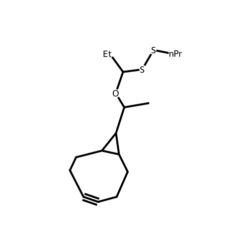 [CH2]CCSSC(CC)OC(C)C1C2CCC#CCCC21